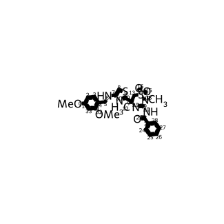 COc1ccc(CNc2csc([C@]3(C)CS(=O)(=O)N(C)C(NC(=O)c4ccccc4)=N3)n2)c(OC)c1